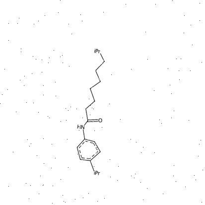 CC(C)CCCCCCC(=O)Nc1ccc(C(C)C)cc1